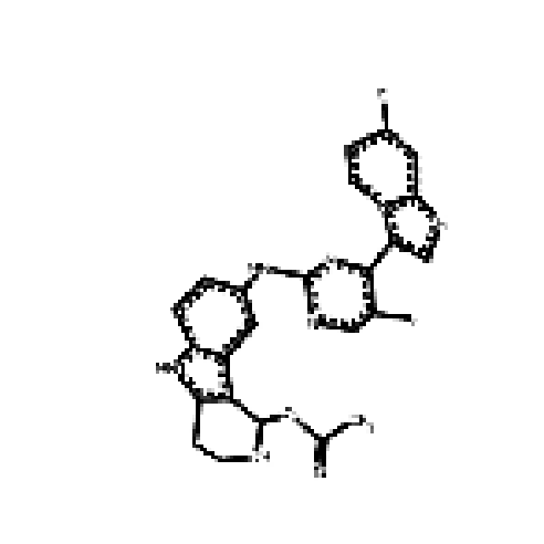 O=C(OC1NCCc2[nH]c3ccc(Nc4ncc(F)c(-c5cnc6cc(F)ccn56)n4)cc3c21)C(F)(F)F